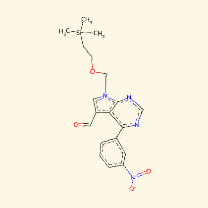 C[Si](C)(C)CCOCn1cc(C=O)c2c(-c3cccc([N+](=O)[O-])c3)ncnc21